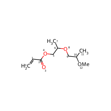 C=CC(=O)OCC(C)OCC(C)OC